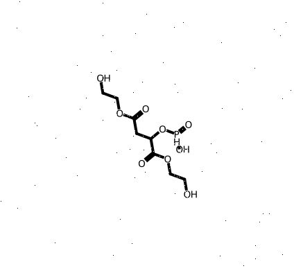 O=C(CC(O[PH](=O)O)C(=O)OCCO)OCCO